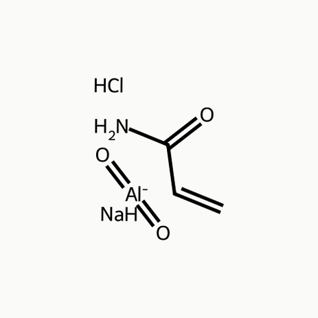 C=CC(N)=O.Cl.[NaH].[O]=[Al-]=[O]